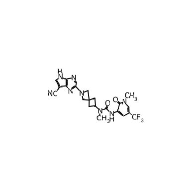 CN(C(=O)Nc1cc(C(F)(F)F)cn(C)c1=O)C1CC2(C1)CN(c1cnc3[nH]cc(C#N)c3n1)C2